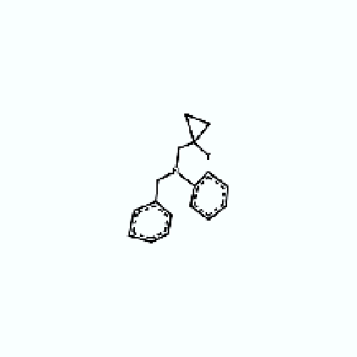 FC1(CN(Cc2ccccc2)c2ccccc2)CC1